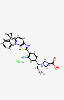 CC[C@@H](c1ccc(-c2nc3ccc(C4(c5ccccc5)CC4)nc3s2)c(F)c1)N1CC(C(=O)O)C1.Cl